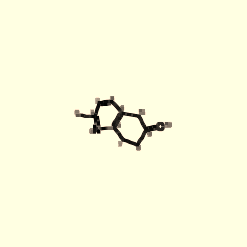 Cc1ccc2c(n1)CCC(=O)C2